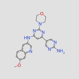 COc1ccc2cc(Nc3cc(-c4cnc(N)nc4)nc(N4CCOCC4)n3)cnc2c1